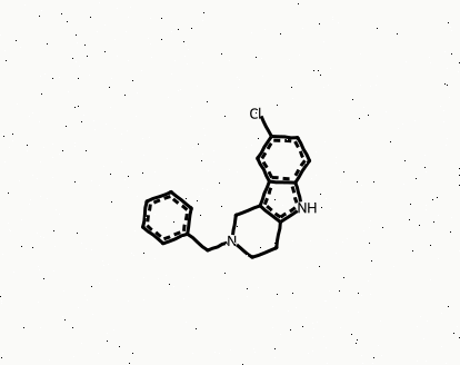 Clc1ccc2[nH]c3c(c2c1)CN(Cc1ccccc1)CC3